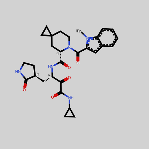 CC(C)n1c(C(=O)N2CCC3(CC3)C[C@H]2C(=O)N[C@@H](C[C@@H]2CCNC2=O)C(=O)C(=O)NC2CC2)cc2ccccc21